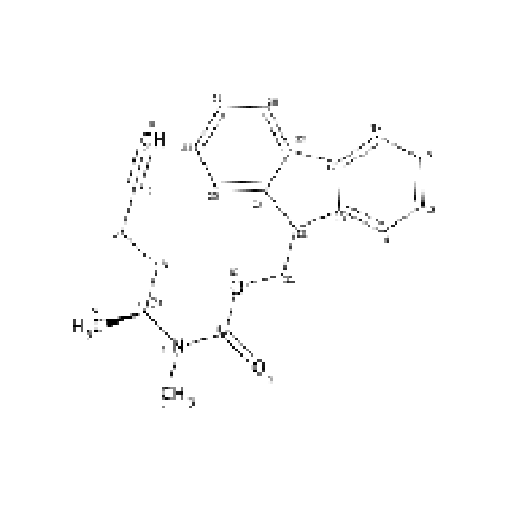 C#CCC[C@H](C)N(C)C(=O)OCC1c2ccccc2-c2ccccc21